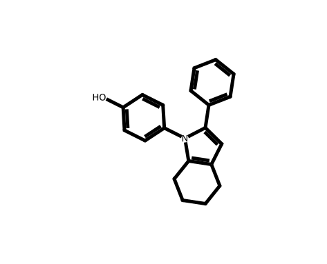 Oc1ccc(-n2c(-c3ccccc3)cc3c2CCCC3)cc1